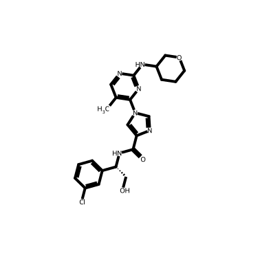 Cc1cnc(NC2CCCOC2)nc1-n1cnc(C(=O)N[C@H](CO)c2cccc(Cl)c2)c1